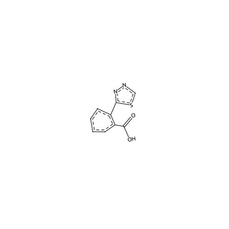 O=C(O)c1ccccc1-c1nncs1